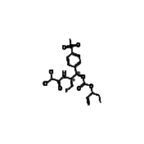 C=CC(CC)OC(=O)O[C@H](c1ccc(S(C)(=O)=O)cc1)[C@@H](CF)NC(=O)C(Cl)Cl